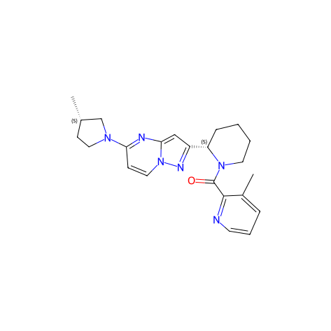 Cc1cccnc1C(=O)N1CCCC[C@H]1c1cc2nc(N3CC[C@H](C)C3)ccn2n1